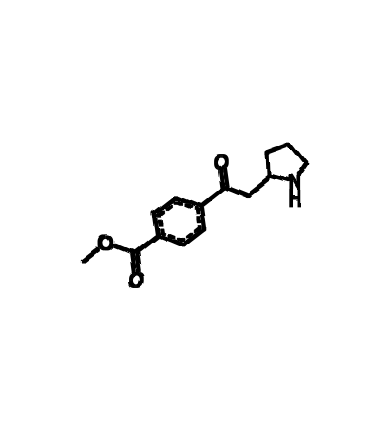 COC(=O)c1ccc(C(=O)CC2CCCN2)cc1